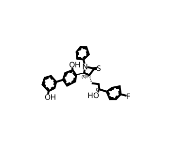 Oc1cccc(-c2ccc([C@@H]3[C@@H](CC[C@H](O)c4ccc(F)cc4)C(=S)N3c3ccccc3)c(O)c2)c1